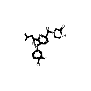 CC(C)Cc1nn(-c2ccc(Cl)c(F)c2)c2ccc(C(=O)N3CCNC(=O)C3)nc12